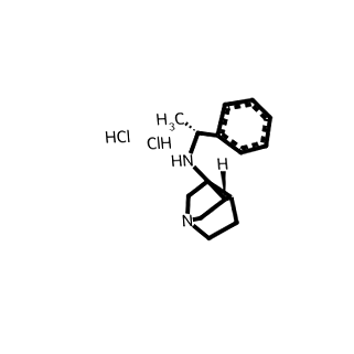 C[C@@H](N[C@H]1CN2CCC1CC2)c1ccccc1.Cl.Cl